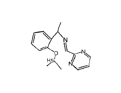 CC(N=Cc1ncccn1)c1ccccc1O[SiH](C)C